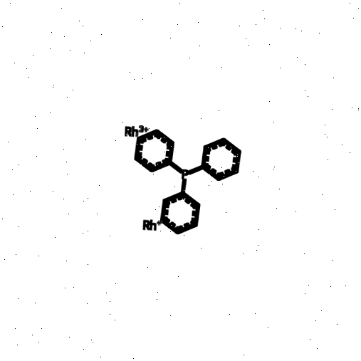 [Rh+3].[Rh+].c1ccc(P(c2ccccc2)c2ccccc2)cc1